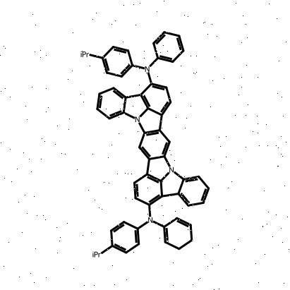 CC(C)c1ccc(N(C2=CCCC=C2)c2ccc3c4cc5c(cc4n4c6ccccc6c2c34)c2ccc(N(c3ccccc3)c3ccc(C(C)C)cc3)c3c4ccccc4n5c23)cc1